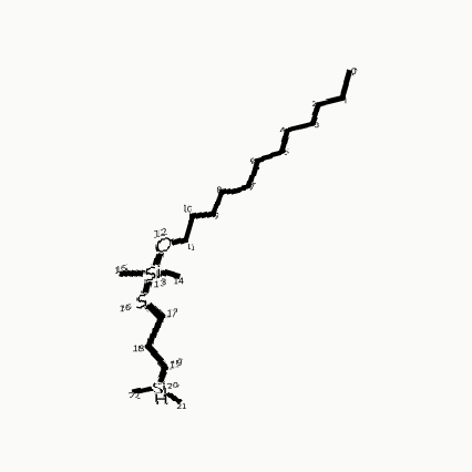 CCCCCCCCCCCCO[Si](C)(C)SCCC[SiH](C)C